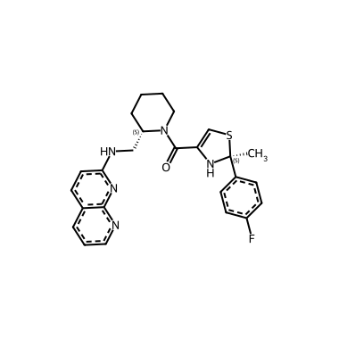 C[C@]1(c2ccc(F)cc2)NC(C(=O)N2CCCC[C@H]2CNc2ccc3cccnc3n2)=CS1